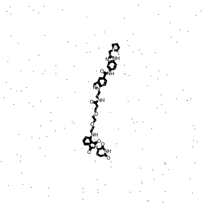 C[C@H]1CCCN1Cc1nc2cc(NC(=O)c3ccc4c(cnn4CCNC(=O)CCOCCOCCNc4cccc5c4C(=O)N(C4CCC(=O)NC4=O)C5=O)c3)ccc2[nH]1